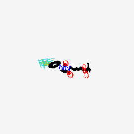 C=C(C)C(=O)OCCCCCCn1c(=O)ccn(-c2ccc(S(F)(F)(F)(F)F)cc2)c1=O